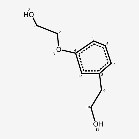 OCCOc1cccc(CCO)c1